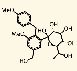 COc1ccc(Cc2c(OC)cc(CO)cc2[C@@]2(O)O[C@H]([C@H](C)O)[C@@H](O)[C@H](O)[C@H]2O)cc1